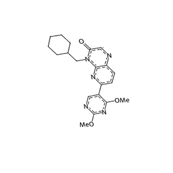 COc1ncc(-c2ccc3n[c]c(=O)n(CC4CCCCC4)c3n2)c(OC)n1